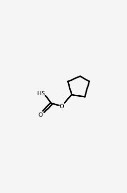 O=C(S)OC1CCCC1